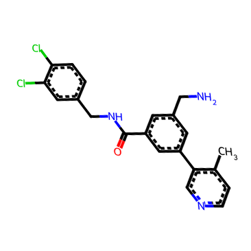 Cc1ccncc1-c1cc(CN)cc(C(=O)NCc2ccc(Cl)c(Cl)c2)c1